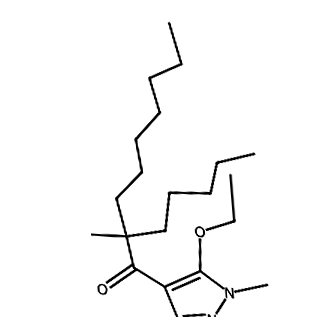 CCCCCCCC(C)(CCCCC)C(=O)c1cnn(C)c1OCC